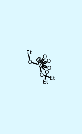 CC[O][V](=[O])(=[O])(=[O])(=[O])(=[O])([O]CC)[O]CC